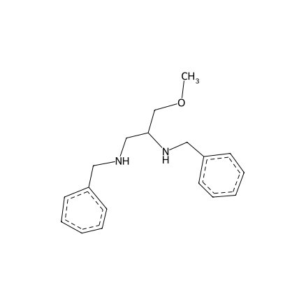 COCC(CNCc1ccccc1)NCc1ccccc1